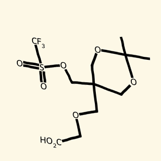 CC1(C)OCC(COCC(=O)O)(COS(=O)(=O)C(F)(F)F)CO1